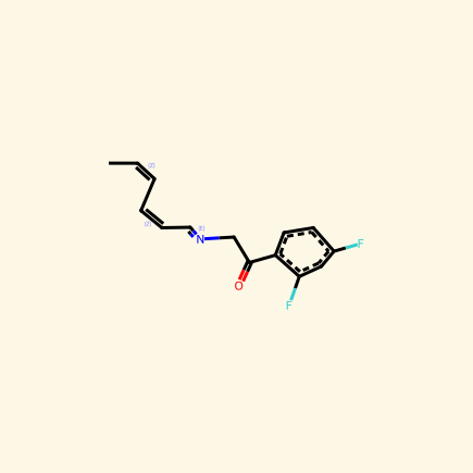 C\C=C/C=C\C=N\CC(=O)c1ccc(F)cc1F